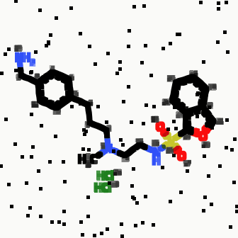 CN(CCCc1ccc(CN)cc1)CCNS(=O)(=O)c1occ2ccccc12.Cl.Cl